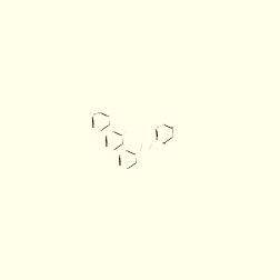 O=C([O-])c1ccc(O)cc1.O=C([O-])c1ccc(O)cc1.O=C([O-])c1ccc(O)cc1.O=C([O-])c1ccc(O)cc1.[Zr+4]